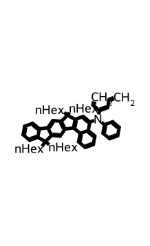 C=C/C=C(\C=C)N(c1ccccc1)c1cc2c(c3ccccc13)-c1cc3c(cc1C2(CCCCCC)CCCCCC)-c1ccccc1C3(CCCCCC)CCCCCC